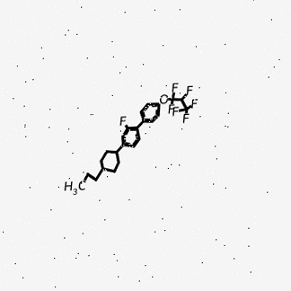 CCCC1CCC(c2ccc(-c3ccc(OC(F)(F)C(F)C(F)(F)F)cc3)c(F)c2)CC1